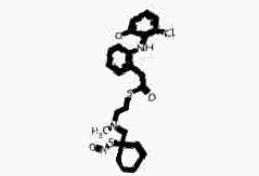 CN(CCSC(=O)Cc1ccccc1Nc1c(Cl)cccc1Cl)CC1(SN=O)CCCCC1